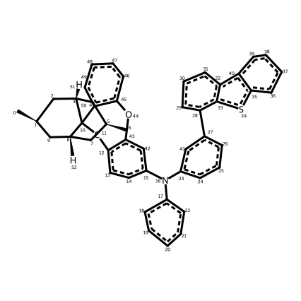 C[C@H]1C[C@@H]2C[C@@H](C)C[C@H](C1)C21Cc2ccc(N(c3ccccc3)c3cccc(-c4cccc5c4sc4ccccc45)c3)cc2Oc2ccccc21